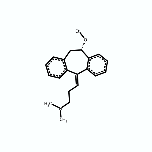 CCO[C@H]1Cc2ccccc2C(=CCCN(C)C)c2ccccc21